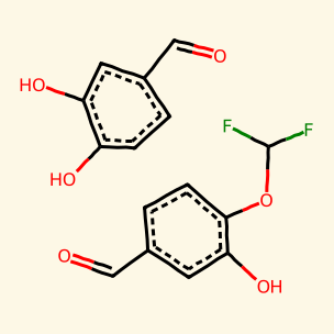 O=Cc1ccc(O)c(O)c1.O=Cc1ccc(OC(F)F)c(O)c1